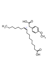 CCCCCC/C=C\CCCCCCCC(=O)O.COc1ccc(CC(=O)O)cc1